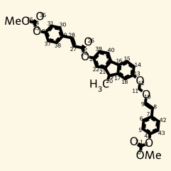 COC(=O)Oc1ccc(C=COCOc2ccc3c(c2)C(C)c2cc(OC(=O)C=Cc4ccc(OC(=O)OC)cc4)ccc2-3)cc1